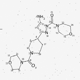 Nc1cc(C2CCN(C(=O)N3CCOCC3)CC2)nn1C(=O)N1CCOCC1